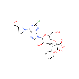 C#C[C@@H](O)[C@@H](O[C@@H](CO)COC(Cc1ccccc1)(C(=O)O)C(=O)O)n1cnc2c(N3CC[C@@H](CO)C3)nc(Cl)nc21